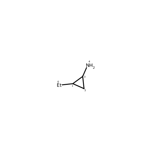 CCC1C[C]1N